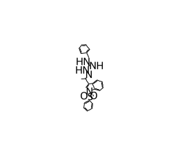 CC(=NNC(=N)NCc1ccccc1)c1cn(S(=O)(=O)c2ccccc2)c2ccccc12